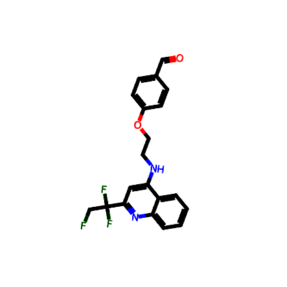 O=Cc1ccc(OCCNc2cc(C(F)(F)CF)nc3ccccc23)cc1